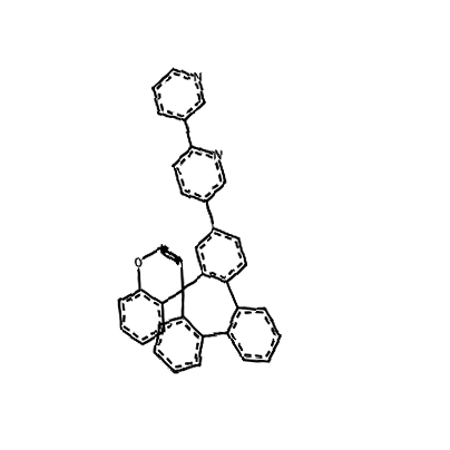 c1cncc(-c2ccc(-c3ccc4c(c3)C3(c5ccccc5Oc5ccccc53)c3ccccc3-c3ccccc3-4)cn2)c1